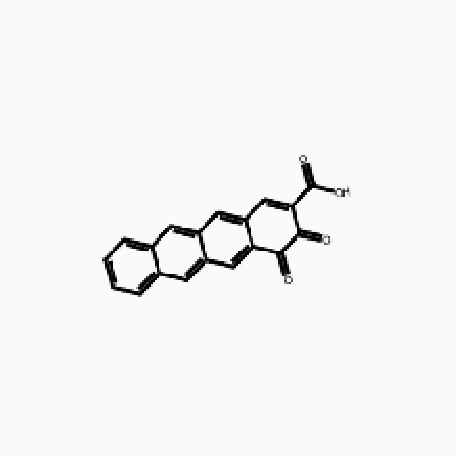 O=C(O)C1=Cc2cc3cc4ccccc4cc3cc2C(=O)C1=O